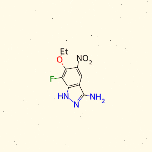 CCOc1c([N+](=O)[O-])cc2c(N)n[nH]c2c1F